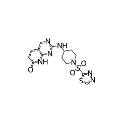 O=c1ccc2cnc(NC3CCN(S(=O)(=O)c4nncs4)CC3)nc2[nH]1